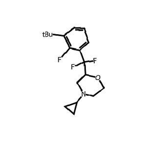 CC(C)(C)c1cccc(C(F)(F)C2CN(C3CC3)CCO2)c1F